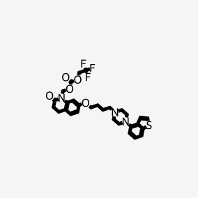 O=C(OCN1C(=O)CCc2ccc(OCCCCN3CCN(c4cccc5sccc45)CC3)cc21)OCC(F)(F)F